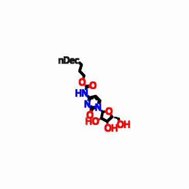 CCCCCCCCCCCCCOC(=O)Nc1ccn([C@@H]2O[C@H](CO)[C@@H](O)[C@@H]2O)c(=O)n1